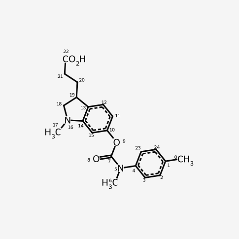 Cc1ccc(N(C)C(=O)Oc2ccc3c(c2)N(C)CC3CCC(=O)O)cc1